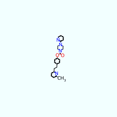 Cc1cccc(CCc2ccc(OC(=O)N3CCN(c4ccccn4)CC3)cc2)n1